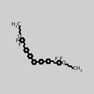 CCCCCCOc1ccc(CCc2ccc(-c3ccc(-c4cccc(-c5ccc(-c6ccc(CCc7ccc(OCCCCCC)c(F)c7F)cc6)cc5)c4)cc3)cc2)c(F)c1F